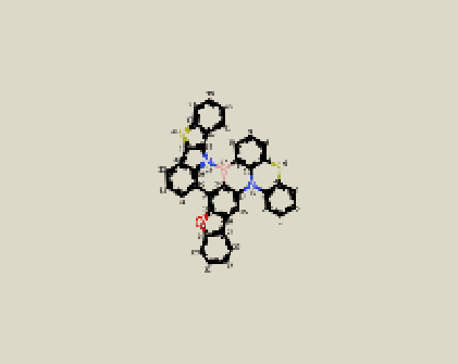 c1ccc2c(c1)Sc1cccc3c1N2c1cc2c(oc4ccccc42)c2c1B3n1c3c-2cccc3c2sc3ccccc3c21